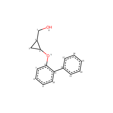 OCC1CC1Oc1ccccc1-c1ccccc1